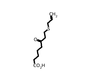 C=CCSCCC(=O)CCCCC(=O)O